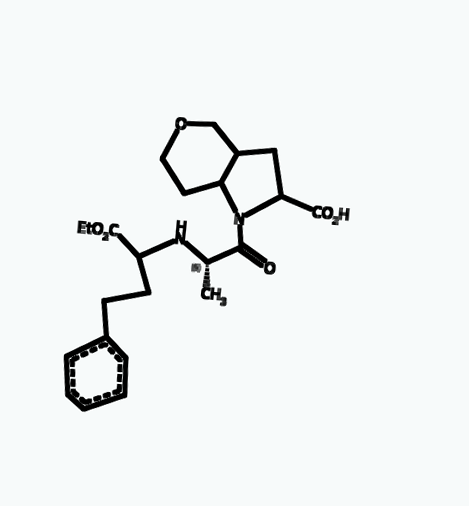 CCOC(=O)C(CCc1ccccc1)N[C@@H](C)C(=O)N1C(C(=O)O)CC2COCCC21